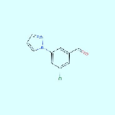 O=Cc1cc(Cl)cc(-n2cccn2)c1